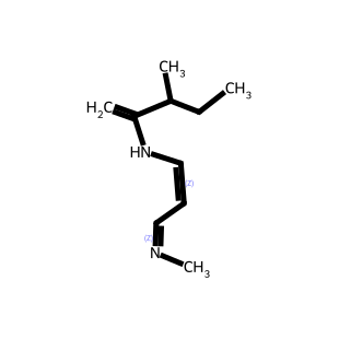 C=C(N/C=C\C=N/C)C(C)CC